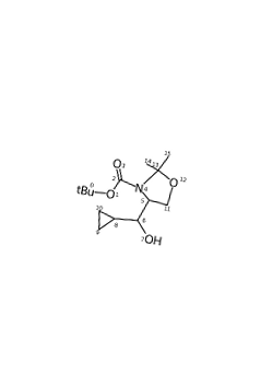 CC(C)(C)OC(=O)N1C(C(O)C2CC2)COC1(C)C